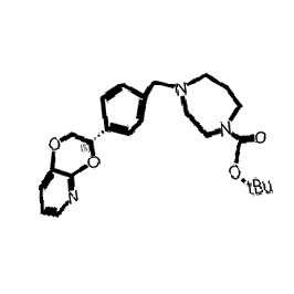 CC(C)(C)OC(=O)N1CCCN(Cc2ccc([C@H]3COc4cccnc4O3)cc2)CC1